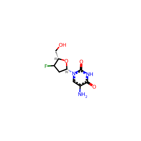 Nc1cn([C@@H]2CC(F)[C@H](CO)O2)c(=O)[nH]c1=O